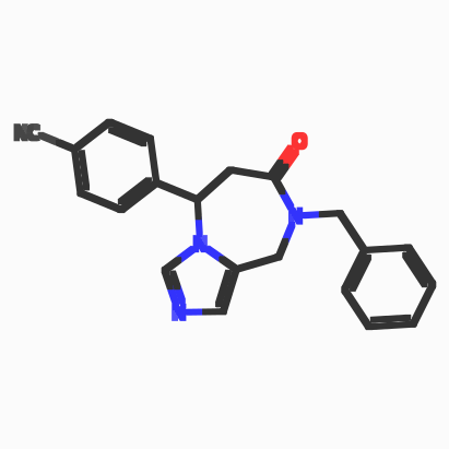 N#Cc1ccc(C2CC(=O)N(Cc3ccccc3)Cc3cncn32)cc1